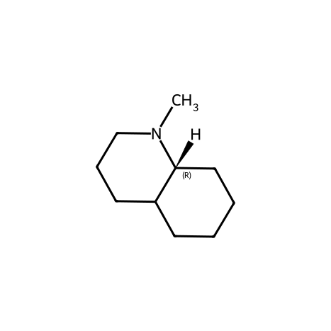 CN1CCCC2CCCC[C@H]21